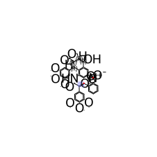 COc1cc(/C(=C\c2ccccc2[N+](=O)[O-])C(=O)Nc2c3c(cc4c2[C@@H](c2cc(OC)c(OC)c(OC)c2)[C@H]2C(=O)OC[C@@H]2[C@H]4O)OCO3)cc(OC)c1OC